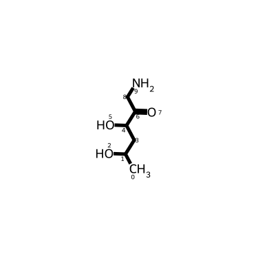 CC(O)CC(O)C(=O)CN